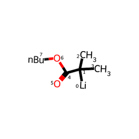 [Li][C](C)(C)C(=O)OCCCC